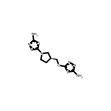 Nc1nnc(OC[C@H]2CCN(c3nnc(N)s3)C2)s1